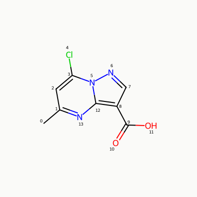 Cc1cc(Cl)n2ncc(C(=O)O)c2n1